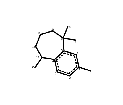 Cc1ccc2c(c1)C(C)(C)CCCC2C